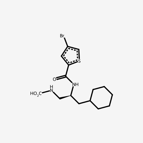 O=C(O)NC[C@H](CC1CCCCC1)NC(=O)c1cc(Br)cs1